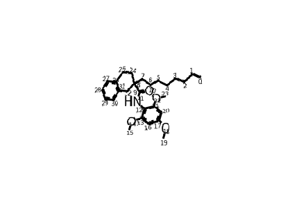 CCCCCCCCC1(C(=O)Nc2c(OC)cc(OC)cc2OC)CCc2ccccc2C1